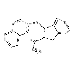 CCOC(=O)NC1Cc2ccccc2C1Sc1ccc2ccccc2c1